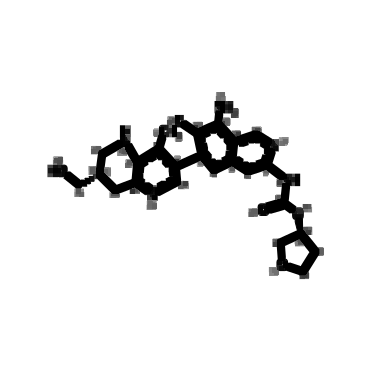 Cc1c(-c2cc3cc(NC(=O)O[C@H]4CCOC4)ncc3c(N)c2F)cnc2c1NC[C@@H](CO)C2